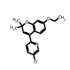 CCOc1ccc2c(c1)OC(C)(C)C=C2c1ccc(Cl)cn1